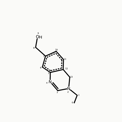 CCN1C=Nc2cc(CO)ccc2C1